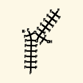 OC(F)(F)C1(C(F)(F)C(F)(F)C(F)(F)C(F)(F)C(F)(F)F)OC(F)(F)C(F)(C(F)(F)C(F)(F)C(F)(F)C(F)(F)C(F)(F)F)O1.[K]